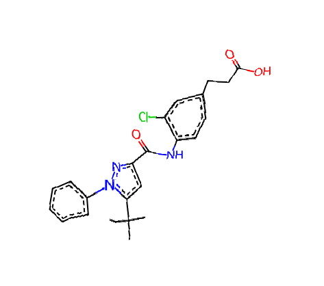 CC(C)(C)c1cc(C(=O)Nc2ccc(CCC(=O)O)cc2Cl)nn1-c1ccccc1